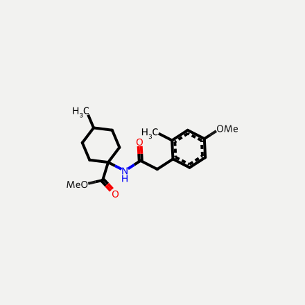 COC(=O)C1(NC(=O)Cc2ccc(OC)cc2C)CCC(C)CC1